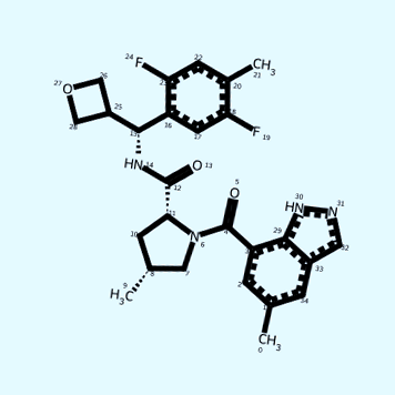 Cc1cc(C(=O)N2C[C@H](C)C[C@@H]2C(=O)N[C@@H](c2cc(F)c(C)cc2F)C2COC2)c2[nH]ncc2c1